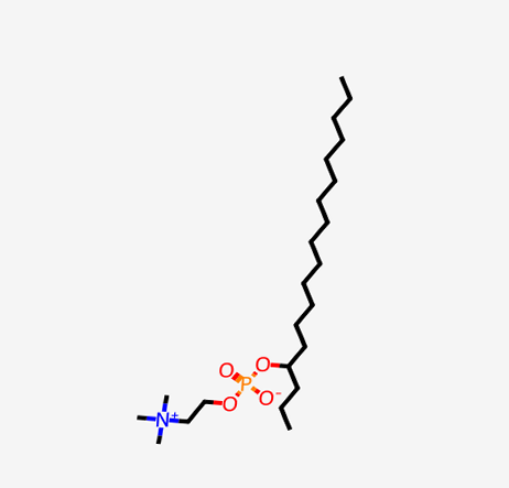 CCCCCCCCCCCCCCC(CCC)OP(=O)([O-])OCC[N+](C)(C)C